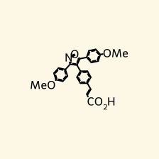 COc1ccc(-c2noc(-c3ccc(OC)cc3)c2-c2ccc(C=CC(=O)O)cc2)cc1